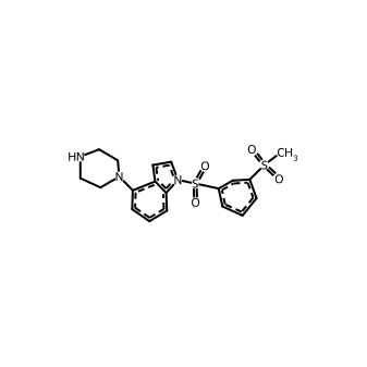 CS(=O)(=O)c1cccc(S(=O)(=O)n2ccc3c(N4CCNCC4)cccc32)c1